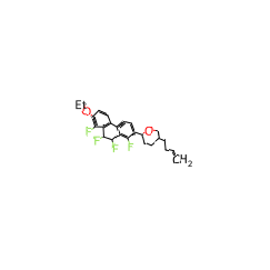 C=CCCC1CCC(c2ccc3c(c2F)C(F)C(F)c2c-3ccc(OCC)c2F)OC1